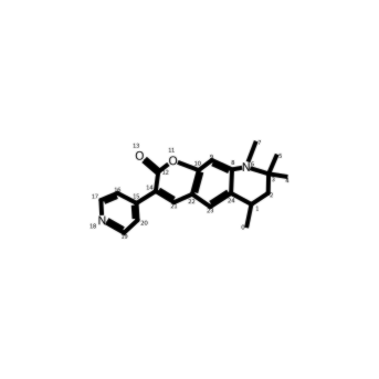 CC1CC(C)(C)N(C)c2cc3oc(=O)c(-c4ccncc4)cc3cc21